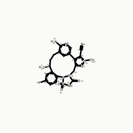 C[C@H]1CCc2cc(cnc2N)-c2c(nn(C)c2C#N)CN2C(=O)NS(=O)(=O)N2c2ccc(F)cc21